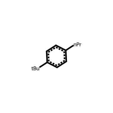 CCCc1ccc(C(C)(C)C)cc1